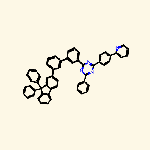 c1ccc(-c2nc(-c3ccc(-c4ccccn4)cc3)nc(-c3cccc(-c4cccc(-c5ccc6c(c5)C(c5ccccc5)(c5ccccc5)c5ccccc5-6)c4)c3)n2)cc1